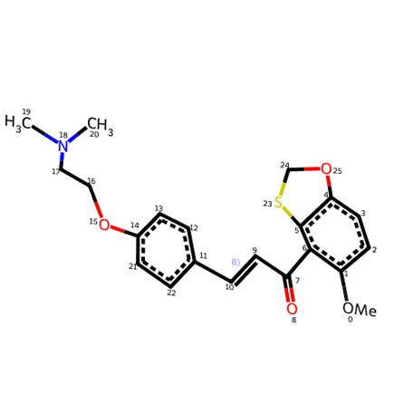 COc1ccc2c(c1C(=O)/C=C/c1ccc(OCCN(C)C)cc1)SCO2